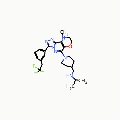 CC(C)NCC1CCN(c2nn3c(-c4cccc(CC(F)(F)F)c4)nnc3c3c2OCCN3C)CC1